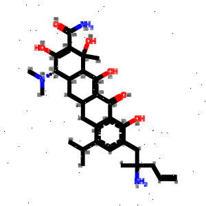 C=CCC(C)(N)Cc1cc(C(C)C)c2c(c1O)C(=O)C1=C(O)C3C(CC1C2)[C@H](N(C)C)C(O)=C(C(N)=O)C3(C)O